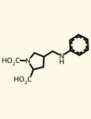 O=C(O)C1CC(CNc2ccccc2)CN1C(=O)O